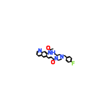 CC(=O)Nc1cc2ncccc2cc1/C=C/C(=O)N1CCN(Cc2ccc(F)cc2)CC1C